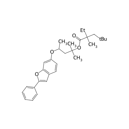 CCC(C)(CC(C)(C)C)C(=O)OC(C)(C)CC(C)Oc1ccc2cc(-c3ccccc3)oc2c1